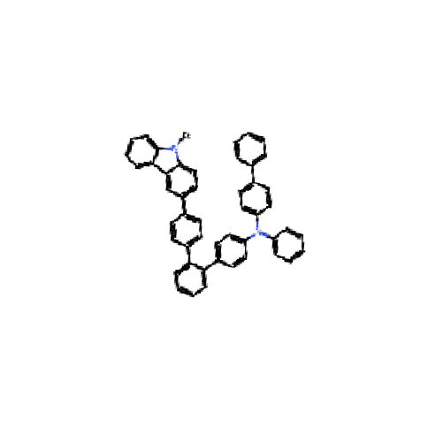 CCn1c2ccccc2c2cc(-c3ccc(-c4ccccc4-c4ccc(N(c5ccccc5)c5ccc(-c6ccccc6)cc5)cc4)cc3)ccc21